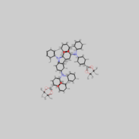 Cc1cccc(C)c1-n1c2ccc(N(c3ccc(B4OC(C)(C)C(C)(C)O4)cc3)c3ccccc3-c3ccccc3)cc2c2cc(N(c3ccc(B4OC(C)(C)C(C)(C)O4)cc3)c3ccccc3-c3ccccc3)ccc21